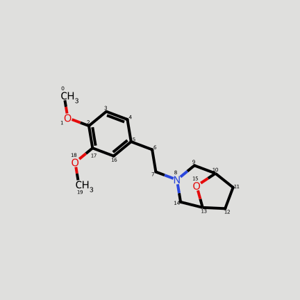 COc1ccc(CCN2CC3CCC(C2)O3)cc1OC